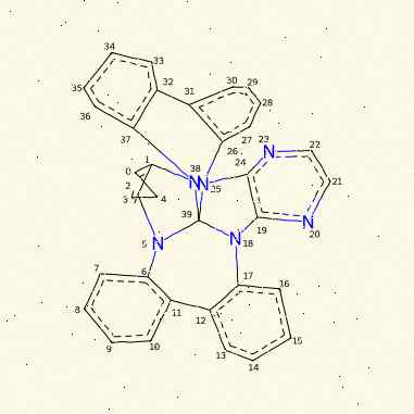 C1=C2C(=CC1)N1c3ccccc3-c3ccccc3N3c4nccnc4N4c5ccccc5-c5ccccc5N2C143